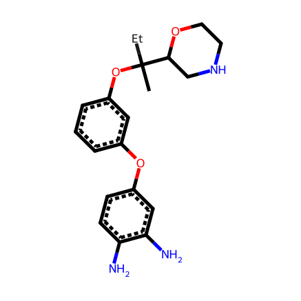 CCC(C)(Oc1cccc(Oc2ccc(N)c(N)c2)c1)C1CNCCO1